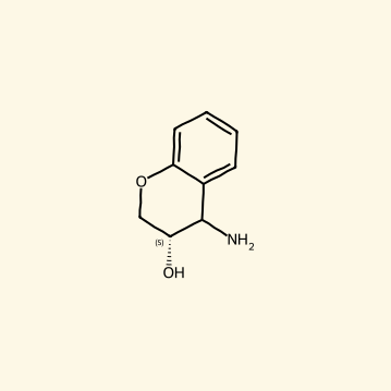 NC1c2ccccc2OC[C@H]1O